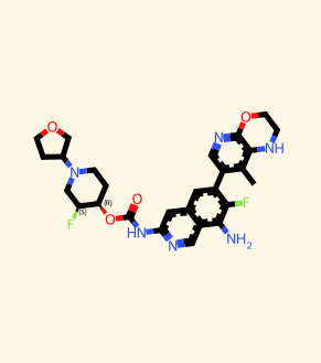 Cc1c(-c2cc3cc(NC(=O)O[C@@H]4CCN(C5CCOC5)C[C@@H]4F)ncc3c(N)c2F)cnc2c1NCCO2